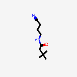 CC(C)(C)CC(=O)NCCCC#N